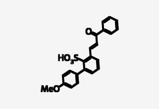 COc1ccc(-c2cccc(/C=C/C(=O)c3ccccc3)c2S(=O)(=O)O)cc1